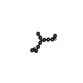 c1ccc(-c2ccc(N(c3ccc(-c4ccc(-c5ccc6oc7ccccc7c6c5)cc4)cc3)c3ccc(-c4ccc(-c5cccc6c5oc5ccccc56)cc4)cc3)cc2)cc1